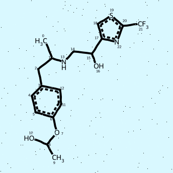 CC(Cc1ccc(OC(C)O)cc1)NCC(O)c1csc(C(F)(F)F)n1